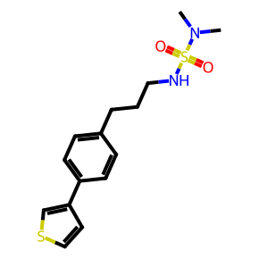 CN(C)S(=O)(=O)NCCCc1ccc(-c2ccsc2)cc1